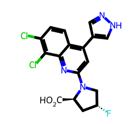 O=C(O)[C@@H]1C[C@@H](F)CN1c1cc(-c2cn[nH]c2)c2ccc(Cl)c(Cl)c2n1